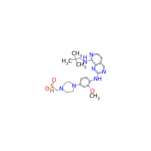 COc1cc(N2CCN(C[SH](=O)=O)CC2)ccc1Nc1ncc2ccnc(NCC(C)(C)C)c2n1